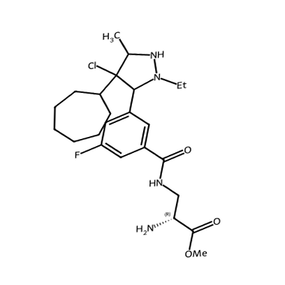 CCN1NC(C)C(Cl)(C2CCCCCC2)C1c1cc(F)cc(C(=O)NC[C@@H](N)C(=O)OC)c1